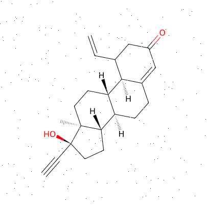 C#C[C@@]1(O)CC[C@H]2[C@@H]3CCC4=CC(=O)CC(C=C)[C@@H]4[C@H]3CC[C@@]21C